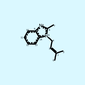 CC(C)=CCn1c(C)nc2ccccc21